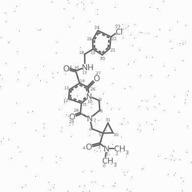 CN(C)C(=O)C1(CN2CCn3c(ccc(C(=O)NCc4ccc(Cl)cc4)c3=O)C2=O)CC1